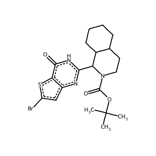 CC(C)(C)OC(=O)N1CCC2CCCCC2C1c1nc2cc(Br)sc2c(=O)[nH]1